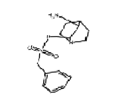 NC1C2CCN(CC2)C1OS(=O)(=O)Cc1ccccc1